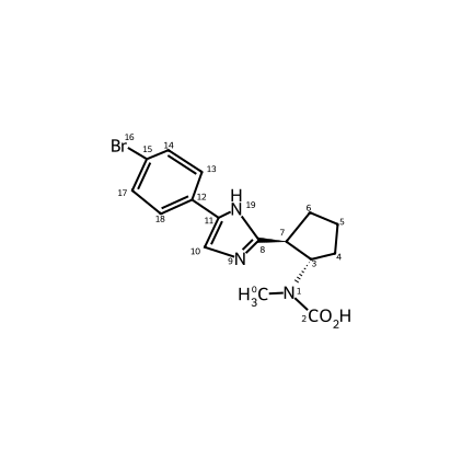 CN(C(=O)O)[C@H]1CCC[C@@H]1c1ncc(-c2ccc(Br)cc2)[nH]1